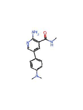 CNC(=O)c1cc(-c2ccc(N(C)C)cc2)cnc1N